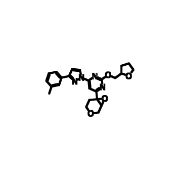 Cc1cccc(-c2ccn(-c3cc(C45CCOCC4O5)nc(OCC4CCCO4)n3)n2)c1